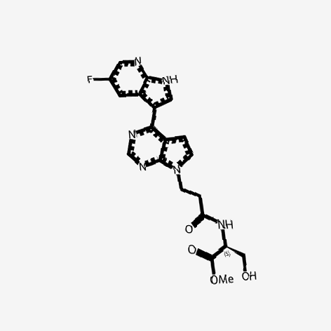 COC(=O)[C@H](CO)NC(=O)CCn1ccc2c(-c3c[nH]c4ncc(F)cc34)ncnc21